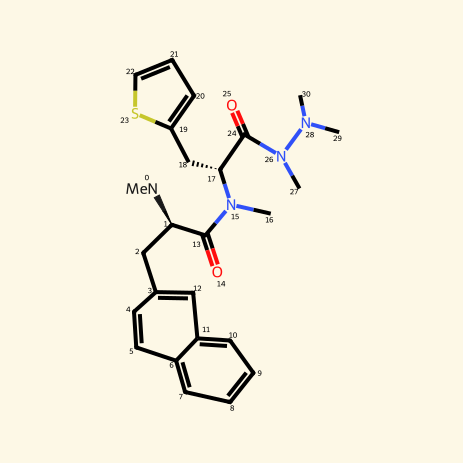 CN[C@H](Cc1ccc2ccccc2c1)C(=O)N(C)[C@H](Cc1cccs1)C(=O)N(C)N(C)C